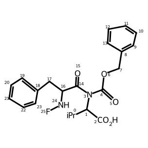 CC(C)C(C(=O)O)N(C(=O)OCc1ccccc1)C(=O)C(Cc1ccccc1)NF